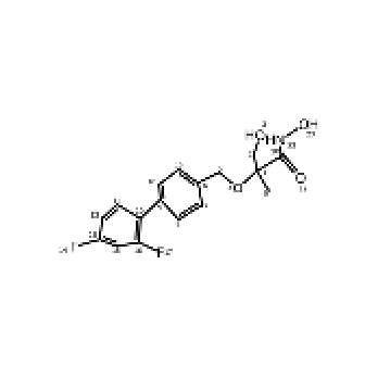 CC(CO)(OCc1ccc(-c2ccc(F)cc2F)cc1)C(=O)NO